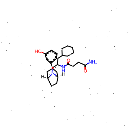 NC(=O)CCC(=O)NC(CC1CCCCC1)CN1[C@@H]2CC[C@H]1C[C@@H](c1cccc(O)c1)C2